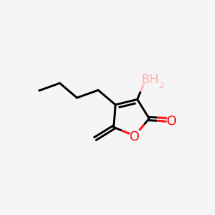 BC1=C(CCCC)C(=C)OC1=O